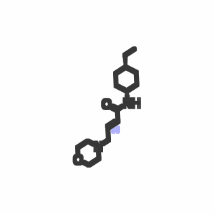 CC[C@H]1CC[C@@H](NC(=O)/C=C/CN2CCOCC2)CC1